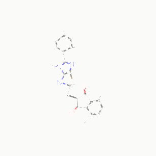 Cn1c(-c2ccccc2)nc2sc(C=C3C(=O)c4c(F)ccc(F)c4C3=O)nc21